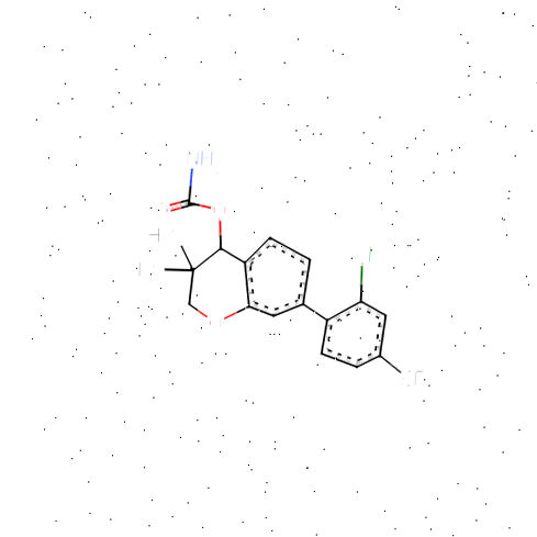 CC1(C)COc2cc(-c3ccc(C(F)(F)F)cc3Cl)ccc2C1OC(N)=O